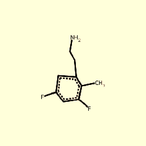 Cc1c(F)cc(F)cc1CCN